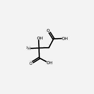 [2H]C(O)(CC(=O)O)C(=O)O